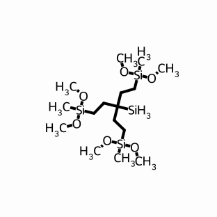 CO[Si](C)(CCC([SiH3])(CC[Si](C)(OC)OC)CC[Si](C)(OC)OC)OC